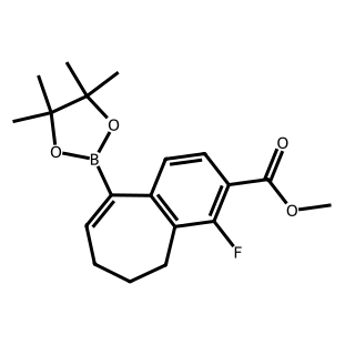 COC(=O)c1ccc2c(c1F)CCCC=C2B1OC(C)(C)C(C)(C)O1